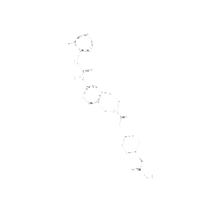 NC(=O)C[C@H]1CC[C@H](OC(=O)N2CCc3cc(NC(=O)Nc4ccccc4F)ccc3C2)CC1